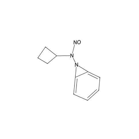 O=NN(C1CCC1)N1c2ccccc21